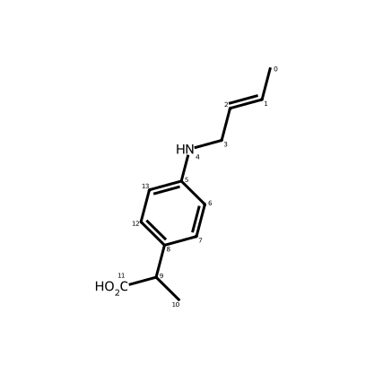 CC=CCNc1ccc(C(C)C(=O)O)cc1